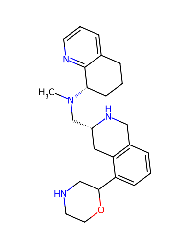 CN(C[C@H]1Cc2c(cccc2C2CNCCO2)CN1)[C@H]1CCCc2cccnc21